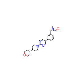 CN(C=O)Cc1cccc(-c2cnc(N3CCC(C4CCOCC4)CC3)nc2)c1